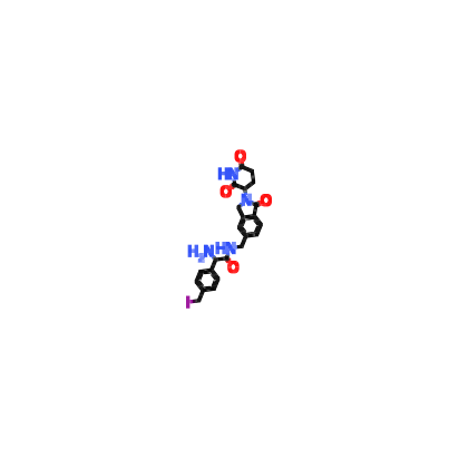 NC(C(=O)NCc1ccc2c(c1)CN(C1CCC(=O)NC1=O)C2=O)c1ccc(CI)cc1